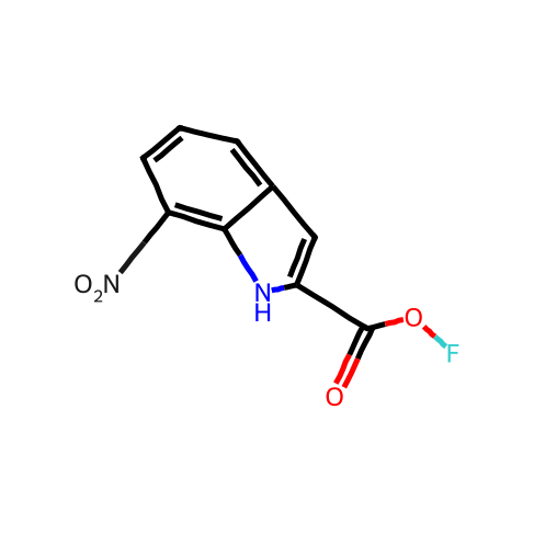 O=C(OF)c1cc2cccc([N+](=O)[O-])c2[nH]1